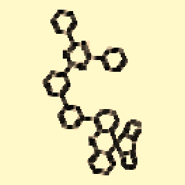 c1ccc(-c2nc(-c3ccccc3)nc(-c3cccc(-c4cccc(-c5cccc6c5Sc5ccccc5C65c6ccccc6-c6ccccc65)c4)c3)n2)cc1